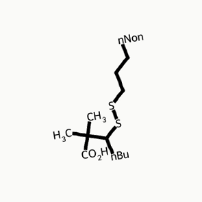 CCCCCCCCCCCCSSC(CCCC)C(C)(C)C(=O)O